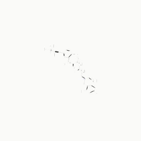 CN1C(=O)C(NC(=O)N/C=C(\C=N)Cc2ccc(F)cc2F)COc2ccc(C#CC(C)(C)O)cc21